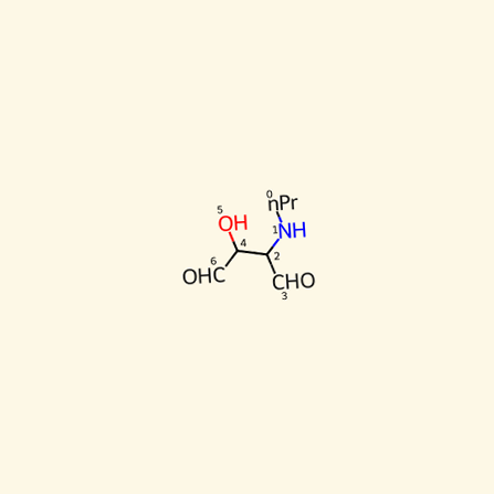 CCCNC(C=O)C(O)C=O